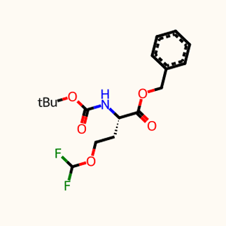 CC(C)(C)OC(=O)N[C@@H](CCOC(F)F)C(=O)OCc1ccccc1